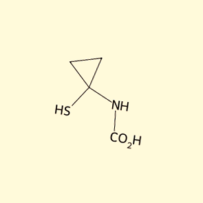 O=C(O)NC1(S)CC1